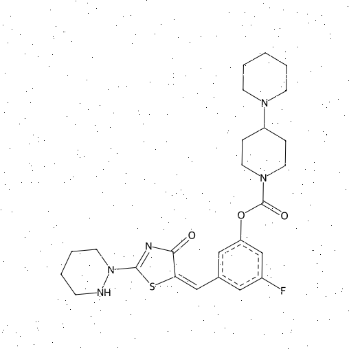 O=C1N=C(N2CCCCN2)S/C1=C/c1cc(F)cc(OC(=O)N2CCC(N3CCCCC3)CC2)c1